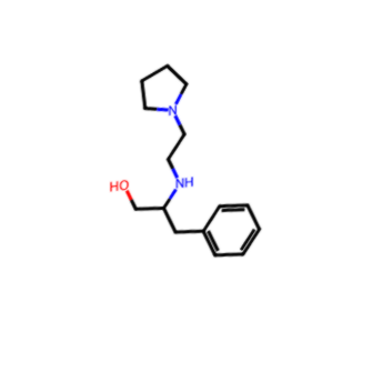 OCC(Cc1ccccc1)NCCN1CCCC1